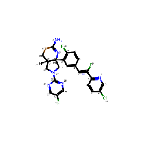 NC1=N[C@]2(c3cc(/C=C(\F)c4ccc(Cl)cn4)ccc3F)CN(c3ncc(F)cn3)C[C@@H]2CS1